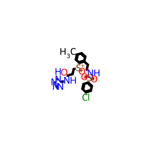 Cc1ccc(CCNS(=O)(=O)c2ccc(Cl)cc2)c([S+]([O-])CCC(=O)Nc2nnn[nH]2)c1